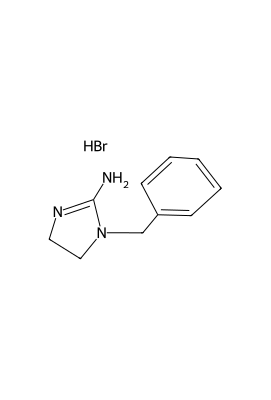 Br.NC1=NCCN1Cc1ccccc1